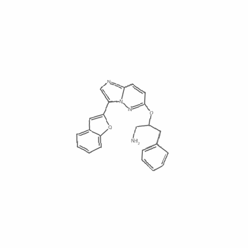 NCC(Cc1ccccc1)Oc1ccc2ncc(-c3cc4ccccc4o3)n2n1